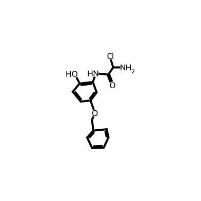 NC(Cl)C(=O)Nc1cc(OCc2ccccc2)ccc1O